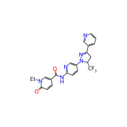 CCn1cc(C(=O)Nc2ccc(N3N=C(c4cccnc4)CC3C(F)(F)F)cn2)ccc1=O